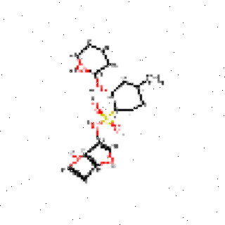 CC1CCC(S(=O)(=O)Oc2coc3ccoc23)[C@H](OC2CCCCO2)C1